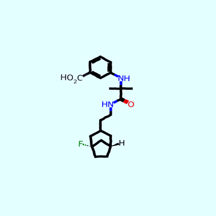 CC(C)(Nc1cccc(C(=O)O)c1)C(=O)NCCC1C[C@@H]2CC[C@@](F)(C1)C2